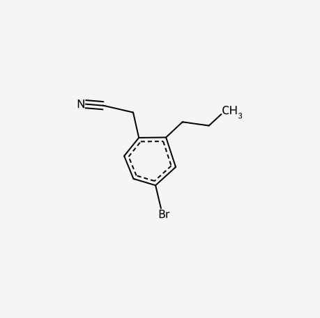 CCCc1cc(Br)ccc1CC#N